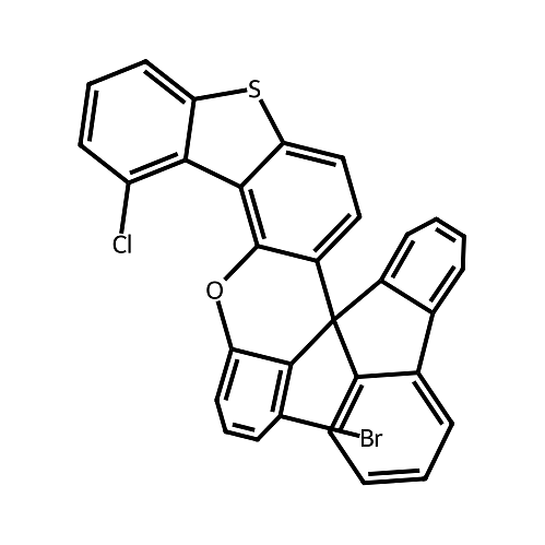 Clc1cccc2sc3ccc4c(c3c12)Oc1cccc(Br)c1C41c2ccccc2-c2ccccc21